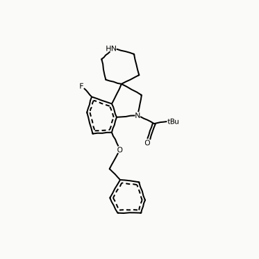 CC(C)(C)C(=O)N1CC2(CCNCC2)c2c(F)ccc(OCc3ccccc3)c21